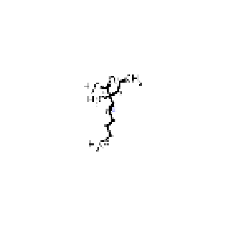 C=CCC(C)(/C=C/CCCC)C(C)=O